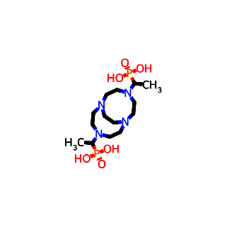 CC(N1CCN2CCN(CC1)CCN(C(C)P(=O)(O)O)CC2)P(=O)(O)O